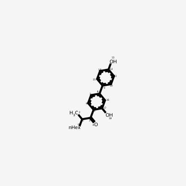 CCCCCCC(C)C(=O)c1ccc(-c2ccc(O)cc2)cc1O